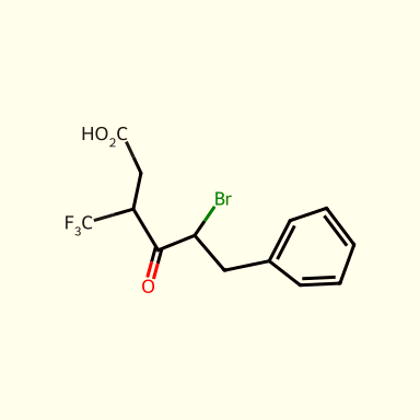 O=C(O)CC(C(=O)C(Br)Cc1ccccc1)C(F)(F)F